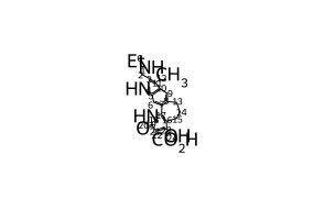 CCNCc1[nH]c2cc3c(cc2c1C)CCCc1c-3[nH]c(=O)c(C(=O)O)c1O